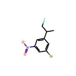 C[C](CF)c1cc(Br)cc([N+](=O)[O-])c1